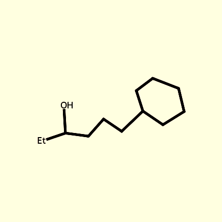 CCC(O)CCCC1CCCCC1